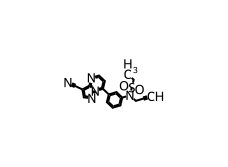 C#CCN(c1cccc(-c2ccnc3c(C#N)cnn23)c1)S(=O)(=O)CC